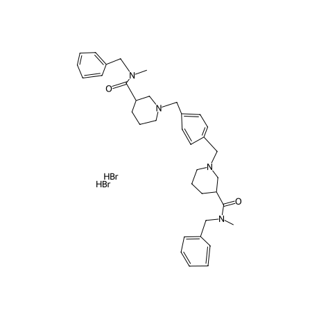 Br.Br.CN(Cc1ccccc1)C(=O)C1CCCN(Cc2ccc(CN3CCCC(C(=O)N(C)Cc4ccccc4)C3)cc2)C1